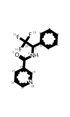 O=C(NC(c1ccccc1)C(F)(F)F)c1cccnc1